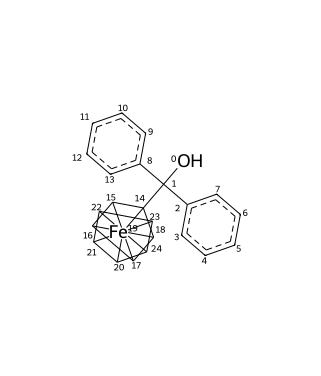 OC(c1ccccc1)(c1ccccc1)[C]12[CH]3[CH]4[CH]5[CH]1[Fe]45321678[CH]2[CH]1[CH]6[CH]7[CH]28